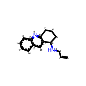 C=CCNC1CCCc2nc3ccccc3cc21